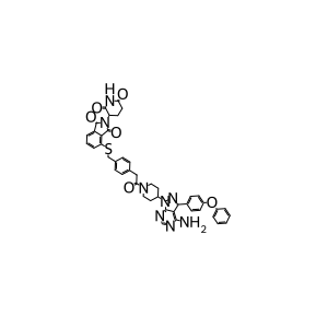 Nc1ncnc2c1c(-c1ccc(Oc3ccccc3)cc1)nn2C1CCN(C(=O)Cc2ccc(CSc3cccc4c3C(=O)N(C3CCC(=O)NC3=O)C4=O)cc2)CC1